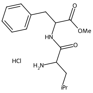 COC(=O)C(Cc1ccccc1)NC(=O)C(N)CC(C)C.Cl